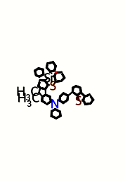 CC1(C)c2ccc(N(c3ccccc3)c3ccc(-c4cccc5c4sc4ccccc45)cc3)cc2-c2c1ccc1c2Sc2ccccc2[Si]1(c1ccccc1)c1ccccc1